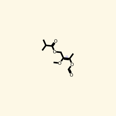 CO/C(COC(=O)C(C)C)=C(/C)OC=O